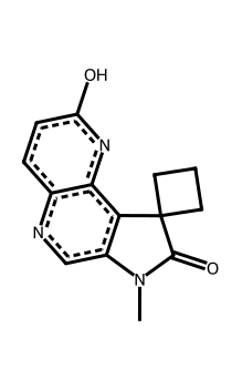 CN1C(=O)C2(CCC2)c2c1cnc1ccc(O)nc21